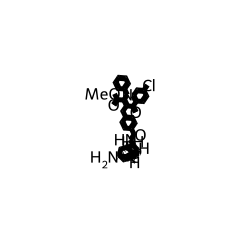 COC(=O)c1c(Cc2ccc(C(=O)N[C@@H]3[C@@H]4C[C@@H]5C[C@H]3C[C@](N)(C5)C4)cc2)c(=O)c2ccc(Cl)cc2n1-c1ccccc1